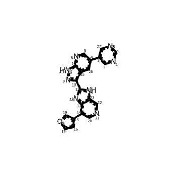 c1ncc(-c2cnc3[nH]nc(-c4nc5c(-c6ccoc6)cncc5[nH]4)c3c2)cn1